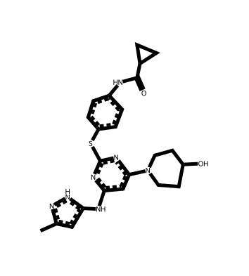 Cc1cc(Nc2cc(N3CCC(O)CC3)nc(Sc3ccc(NC(=O)C4CC4)cc3)n2)[nH]n1